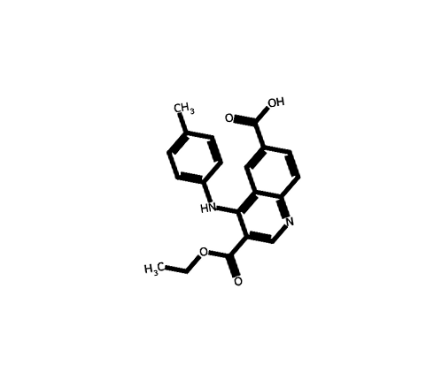 CCOC(=O)c1cnc2ccc(C(=O)O)cc2c1Nc1ccc(C)cc1